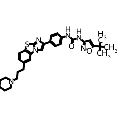 CC(C)(C)c1cc(NC(=O)Nc2ccc(-c3cn4c(n3)sc3ccc(CCCN5CCCCC5)cc34)cc2)no1